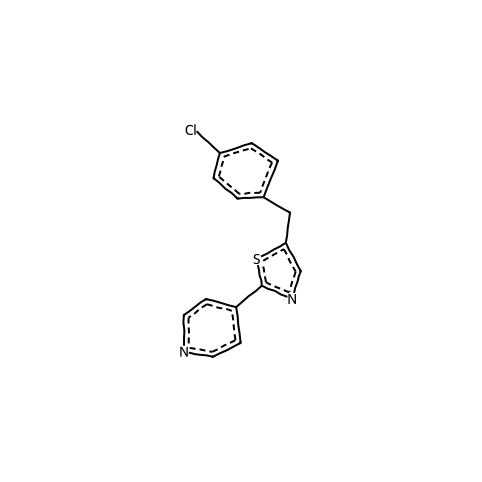 Clc1ccc(Cc2cnc(-c3ccncc3)s2)cc1